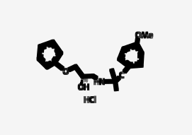 COc1ccc(CC(C)(C)NC[C@H](O)COc2ccccc2)cc1.Cl